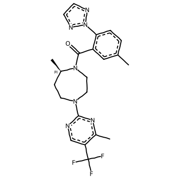 Cc1ccc(-n2nccn2)c(C(=O)N2CCN(c3ncc(C(F)(F)F)c(C)n3)CC[C@H]2C)c1